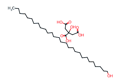 CCCCCCCCCCCCCCCCCCCCCCCCCCCCO.O=C(O)CC(O)(CC(=O)O)C(=O)O